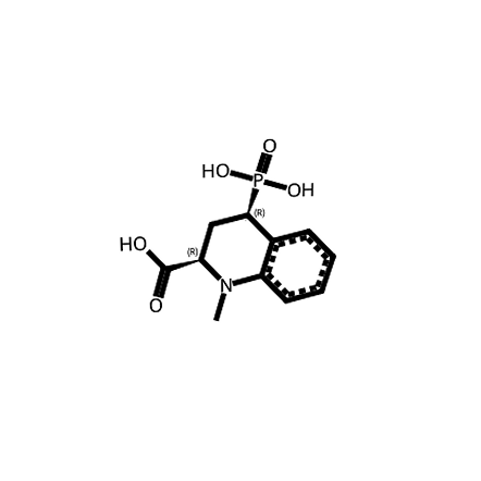 CN1c2ccccc2[C@H](P(=O)(O)O)C[C@@H]1C(=O)O